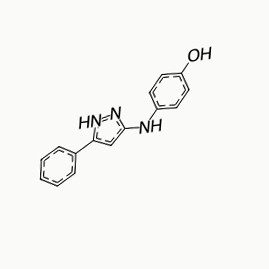 Oc1ccc(Nc2cc(-c3ccccc3)[nH]n2)cc1